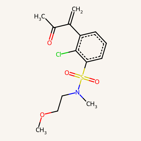 C=C(C(C)=O)c1cccc(S(=O)(=O)N(C)CCOC)c1Cl